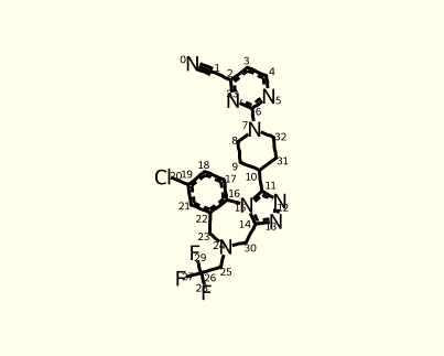 N#Cc1ccnc(N2CCC(c3nnc4n3-c3ccc(Cl)cc3CN(CC(F)(F)F)C4)CC2)n1